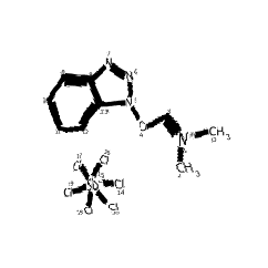 C[N+](C)=COn1nnc2ccccc21.[Cl][Sb-]([Cl])([Cl])([Cl])([Cl])[Cl]